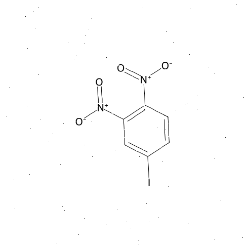 O=[N+]([O-])c1ccc(I)cc1[N+](=O)[O-]